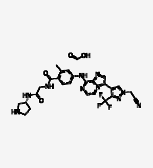 Cc1cc(Nc2nccn3c(-c4cn(CC#N)nc4C(F)(F)F)cnc23)ccc1C(=O)NCC(=O)N[C@@H]1CCNC1.O=CO